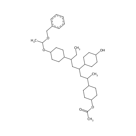 CCC(CC(CC(C)C1CCC(OC(C)=O)CC1)C1CCC(O)CC1)C1CCC(OC(C)OCc2ccccc2)CC1